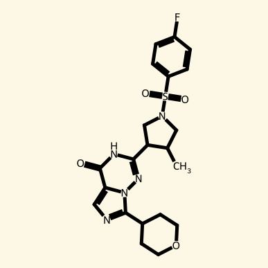 CC1CN(S(=O)(=O)c2ccc(F)cc2)CC1c1nn2c(C3CCOCC3)ncc2c(=O)[nH]1